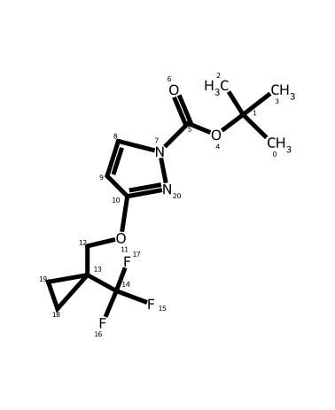 CC(C)(C)OC(=O)n1ccc(OCC2(C(F)(F)F)CC2)n1